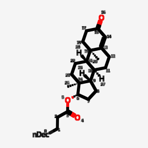 CCCCCCCCCCCCC(=O)O[C@H]1CC[C@H]2[C@@H]3CCC4=CC(=O)CC[C@]4(C)[C@H]3CC[C@]12C